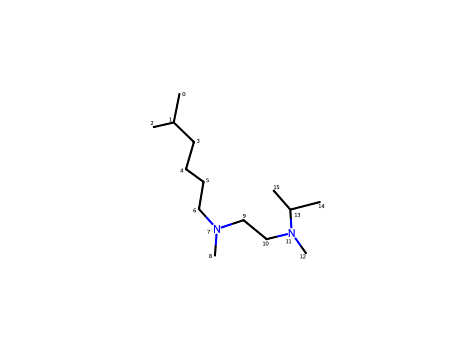 CC(C)CCCCN(C)CCN(C)C(C)C